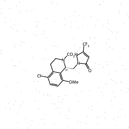 COc1ccc(Cl)c2c1[C@@H](CN1CC(C(F)(F)F)=CC1=O)N(C(=O)O)CC2